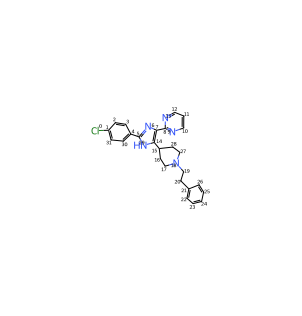 Clc1ccc(-c2nc(-c3ncccn3)c(C3CCN(CCc4ccccc4)CC3)[nH]2)cc1